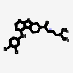 CN(C)C/C=C/C(=O)N1CCc2c(sc3ncnc(Nc4ccc(Br)c(Cl)c4)c23)C1